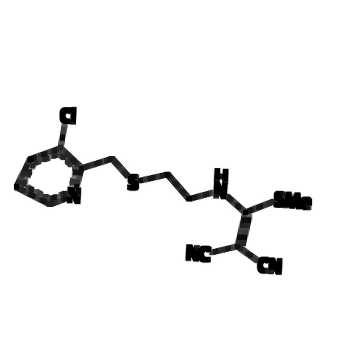 CSC(NCCSCc1ncccc1Cl)=C(C#N)C#N